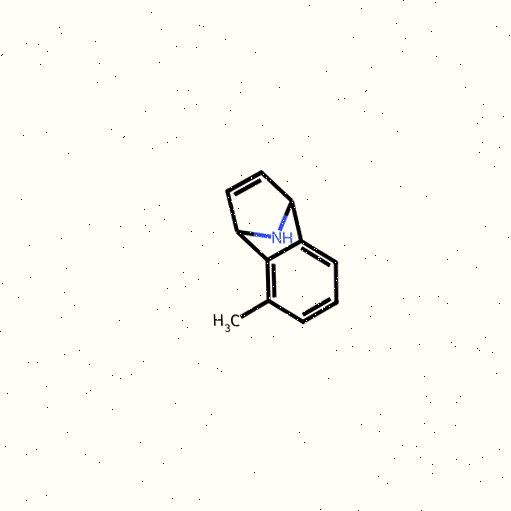 Cc1cccc2c1C1C=CC2N1